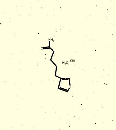 Cl.NC(=O)CCCCc1ccsc1.O